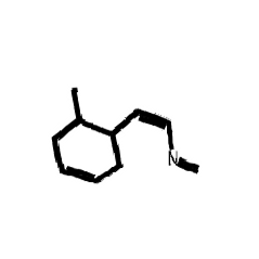 C=N/C=C\C1CC=CCC1C